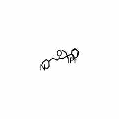 CC(C)C1(c2ccccc2)CCOC(CCC2CCN(C)CC2)C1